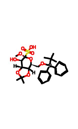 CO[C@]1(S(=O)(=O)O)O[C@H](CO[Si](c2ccccc2)(c2ccccc2)C(C)(C)C)[C@@H]2OC(C)(C)O[C@@H]2[C@H]1O